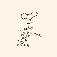 CCCCC(NC(=O)OCC1c2ccccc2-c2ccccc21)(NC(=O)OC(C)(C)C)C(=O)O